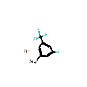 Fc1c[c]([Mg+])cc(C(F)(F)F)c1.[Br-]